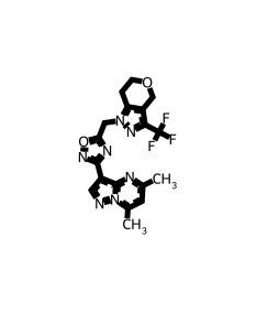 Cc1cc(C)n2ncc(-c3noc(Cn4nc(C(F)(F)F)c5c4CCOC5)n3)c2n1